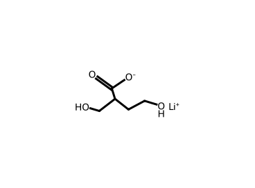 O=C([O-])C(CO)CCO.[Li+]